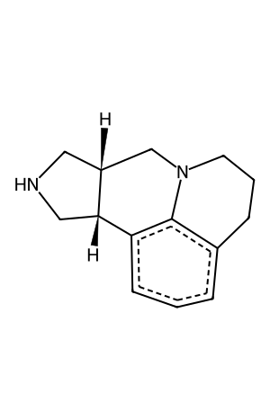 c1cc2c3c(c1)[C@@H]1CNC[C@@H]1CN3CCC2